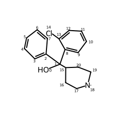 OC(c1ccccc1)(c1ccccc1Cl)C1CC[N]CC1